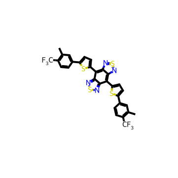 Cc1cc(-c2ccc(-c3c4c(c(-c5ccc(-c6ccc(C(F)(F)F)c(C)c6)s5)c5nsnc35)N=S=N4)s2)ccc1C(F)(F)F